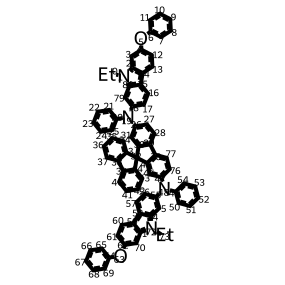 CCn1c2cc(Oc3ccccc3)ccc2c2ccc(N(c3ccccc3)c3ccc4c(c3)C3(c5ccccc5-c5ccccc53)c3cc(N(c5ccccc5)c5ccc6c7ccc(Oc8ccccc8)cc7n(CC)c6c5)ccc3-4)cc21